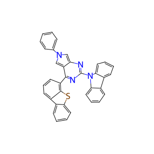 c1ccc(-n2cc3nc(-n4c5ccccc5c5ccccc54)nc(-c4cccc5c4sc4ccccc45)c3c2)cc1